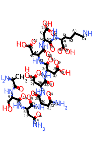 CC(N)C(=O)NC(CO)C(=O)NC(CC(N)=O)C(=O)NC(CC(N)=O)C(=O)NC(CC(=O)O)C(=O)NC(CC(=O)O)C(=O)NC(CC(=O)O)C(=O)NC(CC(=O)O)C(=O)NC(CCCCN)C(=O)O